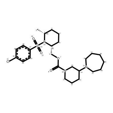 C[C@@H]1CCC[C@H](COC(=O)N2CCCC(N3CCCCCC3)C2)N1S(=O)(=O)c1ccc(Cl)cc1